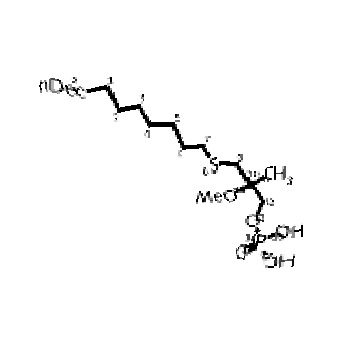 CCCCCCCCCCCCCCCCCSCC(C)(COP(=O)(O)O)OC